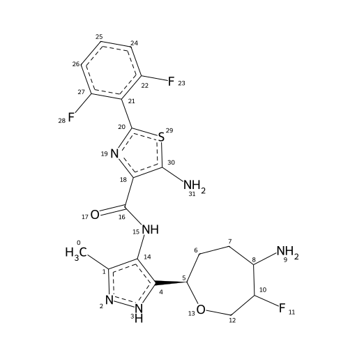 Cc1n[nH]c([C@H]2CCC(N)C(F)CO2)c1NC(=O)c1nc(-c2c(F)cccc2F)sc1N